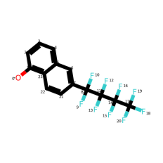 [O]c1cccc2cc(C(F)(F)C(F)(F)C(F)(F)C(F)(F)F)ccc12